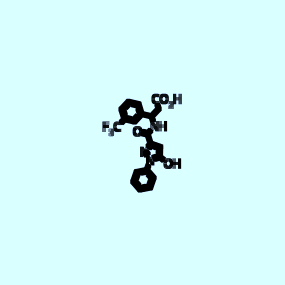 O=C(O)CC(NC(=O)c1cc(O)n(-c2ccccc2)n1)c1cccc(C(F)(F)F)c1